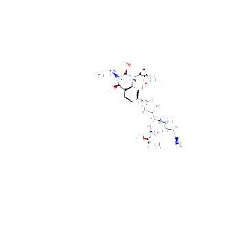 COc1c(N2CCC(C(CNC(C)=O)NCCC#N)C2)ccc2c(=O)n(N)c(=O)n(C3CC3)c12